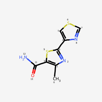 Cc1nc(-c2cscn2)sc1C(N)=O